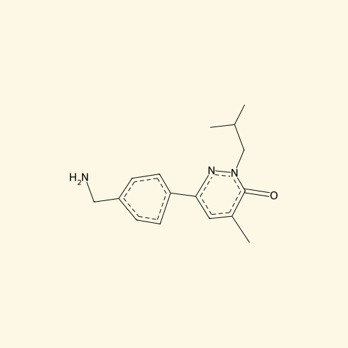 Cc1cc(-c2ccc(CN)cc2)nn(CC(C)C)c1=O